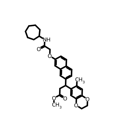 COC(=O)CC(c1ccc2ccc(OCC(=O)NC3CCCCCC3)cc2c1)c1cc2c(cc1C)OCCO2